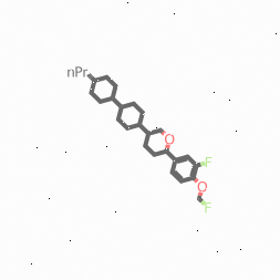 CCCC1CCC(C2CCC(C3CCC(c4ccc(OCF)c(F)c4)OC3)CC2)CC1